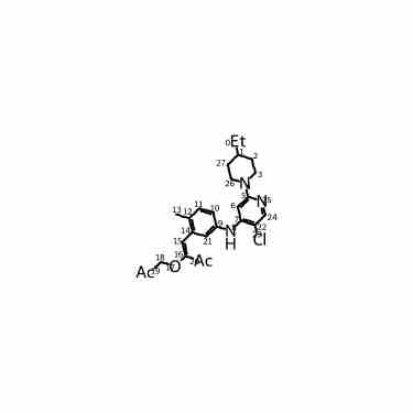 CCC1CCN(c2cc(Nc3ccc(C)c(/C=C(/OCC(C)=O)C(C)=O)c3)c(Cl)cn2)CC1